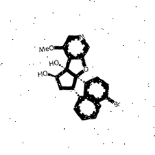 COc1cncc2c1[C@]1(O)[C@H](O)C[C@@H](c3ccccc3)[C@]1(c1ccc(Br)cc1)O2